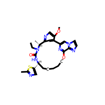 CCN1C(=O)N[C@@H](c2cnc(C)s2)CCCCCOc2nc(cn3ccnc23)-c2cc(ncc2OC)[C@H]1C